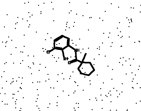 CC1(C(=O)Nc2cccc(Cl)c2S)CCCCC1